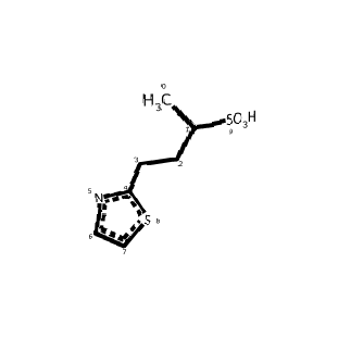 CC(CCc1nccs1)S(=O)(=O)O